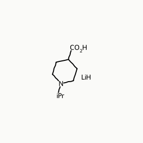 CC(C)N1CCC(C(=O)O)CC1.[LiH]